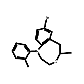 Cc1ccccc1N1CCOC(C)Cc2cc(Br)ccc21